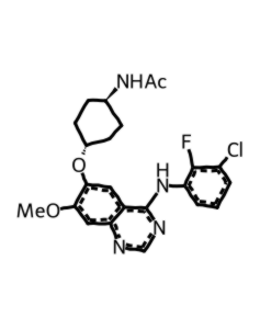 COc1cc2ncnc(Nc3cccc(Cl)c3F)c2cc1O[C@H]1CC[C@H](NC(C)=O)CC1